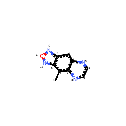 Cc1c2nccnc2cc2nonc12